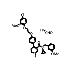 COc1cccc(CN(C(=O)C2=C(c3ccc(OCCOc4ccc(Cl)cc4OC)cc3)CCNC2)C2CC2)c1.O=CO